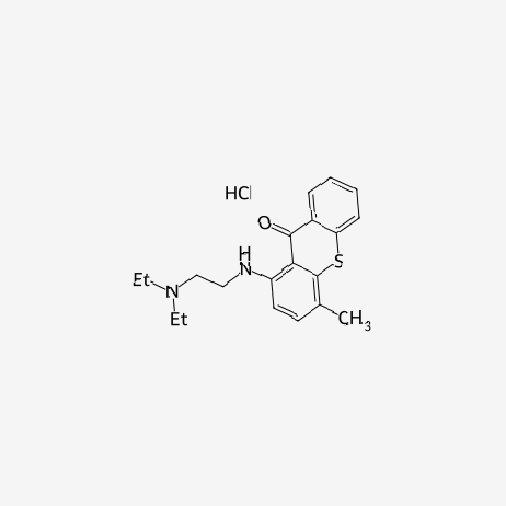 CCN(CC)CCNc1ccc(C)c2sc3ccccc3c(=O)c12.Cl